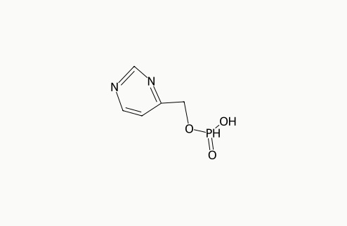 O=[PH](O)OCc1ccncn1